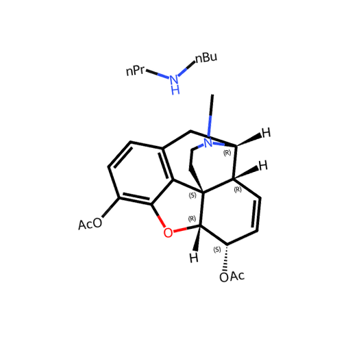 CC(=O)Oc1ccc2c3c1O[C@H]1[C@@H](OC(C)=O)C=C[C@H]4[C@@H](C2)N(C)CC[C@@]341.CCCCNCCC